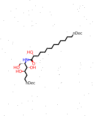 CCCCCCCCCCCCCCCCCCCCC[C@@H](O)C(=O)N[C@@H](CO)[C@H](O)[C@H](O)CCCCCCCCCCCC